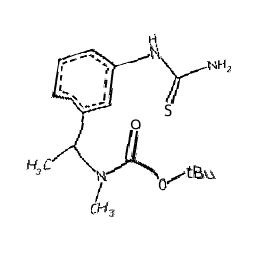 CC(c1cccc(NC(N)=S)c1)N(C)C(=O)OC(C)(C)C